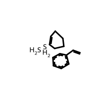 C1=CCCCC1.C=Cc1ccccc1.S.S